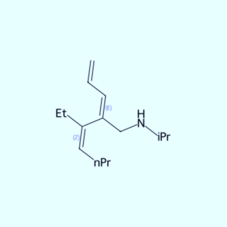 C=C/C=C(CNC(C)C)\C(=C/CCC)CC